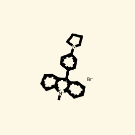 C[n+]1c2ccccc2c(-c2ccc(N3CCCC3)cc2)c2ccccc21.[Br-]